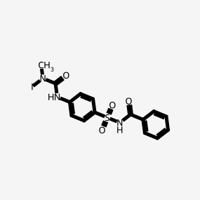 CN(I)C(=O)Nc1ccc(S(=O)(=O)NC(=O)c2ccccc2)cc1